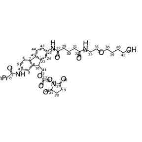 CCCC(=O)Nc1ccc2c(c1)C(COC(=O)ON1C(=O)CCC1=O)c1cc(NC(=O)CCCC(=O)NCCOCCCCO)ccc1-2